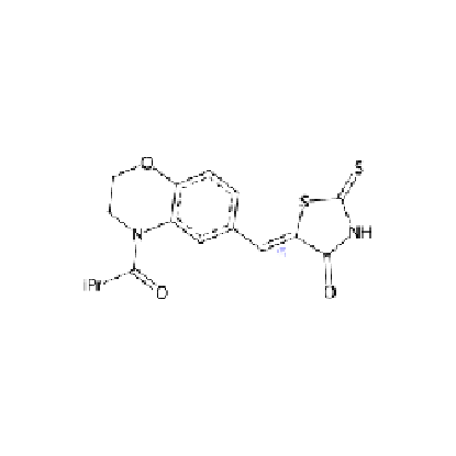 CC(C)C(=O)N1CCOc2ccc(/C=C3\SC(=S)NC3=O)cc21